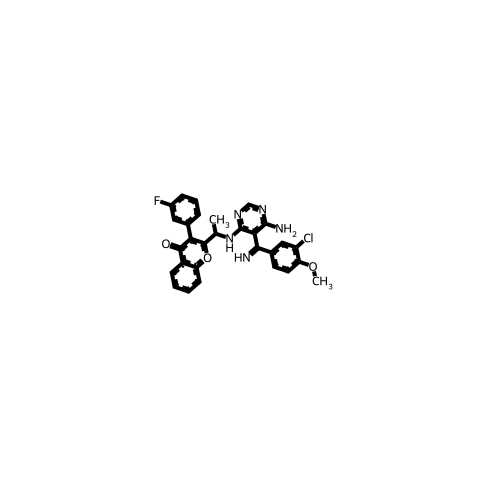 COc1ccc(C(=N)c2c(N)ncnc2NC(C)c2oc3ccccc3c(=O)c2-c2cccc(F)c2)cc1Cl